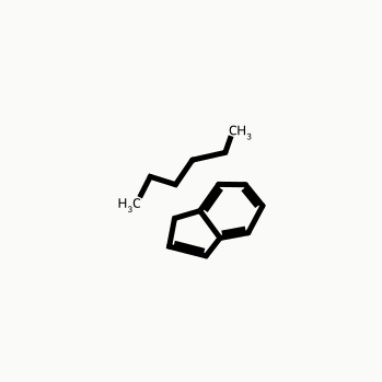 C1=Cc2ccccc2C1.CCCCCC